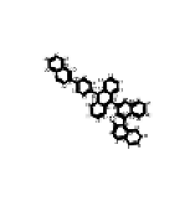 C1=Cc2ccc3oc4c(-c5c6ccccc6c(-c6ccc(-c7ccc8ccccc8c7)cc6)c6ccccc56)cc5ccccc5c4c3c2CC1